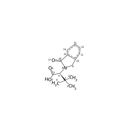 CC(C)(C)[C@@H](C(=O)O)N1Cc2ccccc2C1=O